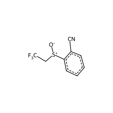 N#Cc1ccccc1[S+]([O-])CC(F)(F)F